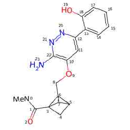 CNC(=O)C12CC(C1)C2COc1cc(-c2ccccc2O)nnc1N